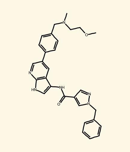 COCCN(C)Cc1ccc(-c2cnc3[nH]cc(NC(=O)c4cnn(Cc5ccccc5)c4)c3c2)cc1